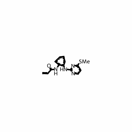 C=CC(=O)Nc1ccccc1Nc1nccc(SC)n1